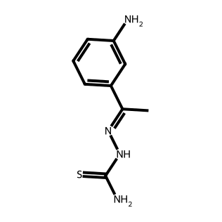 C/C(=N\NC(N)=S)c1cccc(N)c1